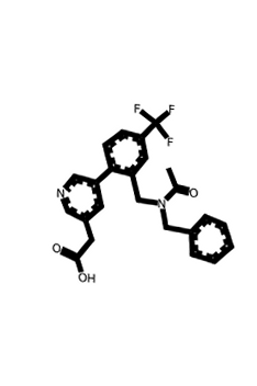 CC(=O)N(Cc1ccccc1)Cc1cc(C(F)(F)F)ccc1-c1cncc(CC(=O)O)c1